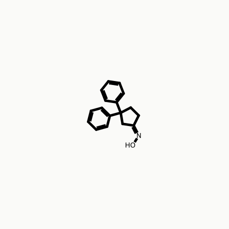 ON=C1CCC(c2ccccc2)(c2ccccc2)C1